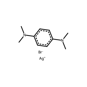 CN(C)c1ccc(N(C)C)cc1.[Ag+].[Br-]